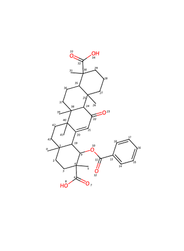 CC12CCC(C)(C(=O)O)C(OC(=O)c3ccccc3)C1C1=CC(=O)C3C4(C)CCCC(C)(C(=O)O)C4CCC3(C)C1(C)CC2